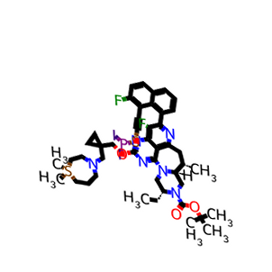 CC[C@@H]1CN2c3nc(OCC4(CN5CCCS(C)(C)CC5)CC4)nc4c(F)c(-c5cccc6ccc(F)c(C#CSP(I)I)c56)nc(c34)C[C@H](C)[C@H]2CN1C(=O)OC(C)(C)C